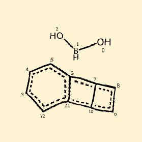 OBO.c1ccc2c3ccc-3c2c1